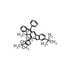 CC(C)(C)C1=CCC(c2c(C(C)(C)C)c(=C(c3ccccc3)c3ccccc3)cc3c2=[C]c2cc(C(C)(C)C)ccc2-3)=C1